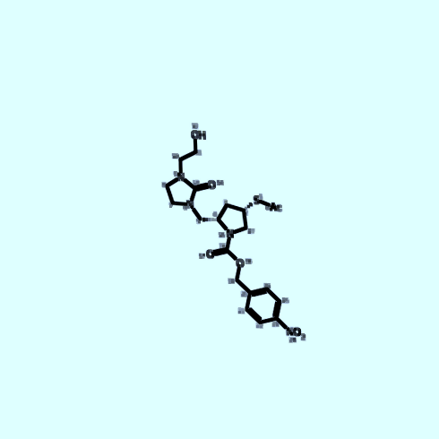 CC(=O)S[C@H]1C[C@@H](CN2CCN(CCO)C2=O)N(C(=O)OCc2ccc([N+](=O)[O-])cc2)C1